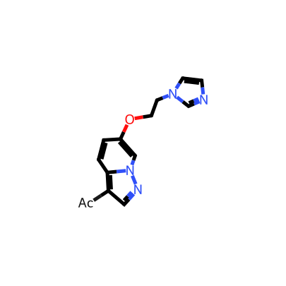 CC(=O)c1cnn2cc(OCCn3ccnc3)ccc12